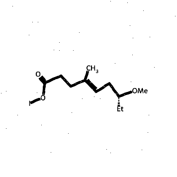 CC[C@H](C/C=C(\C)CCC(=O)OI)OC